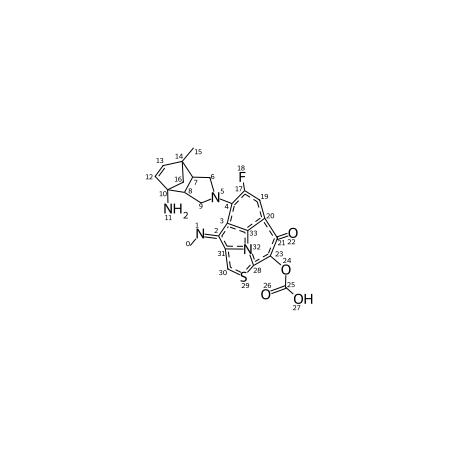 CN=c1c2c(N3CC4C(C3)C3(N)C=CC4(C)C3)c(F)cc3c(=O)c(OC(=O)O)c4scc1n4c32